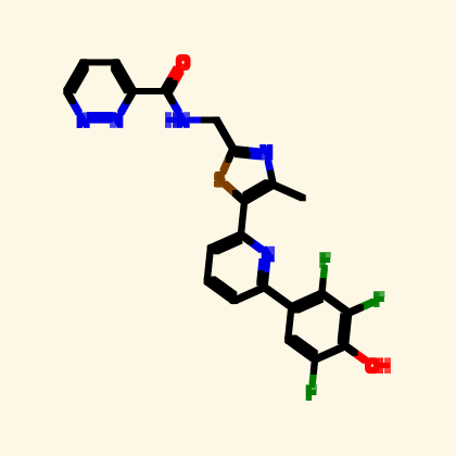 Cc1nc(CNC(=O)c2cccnn2)sc1-c1cccc(-c2cc(F)c(O)c(F)c2F)n1